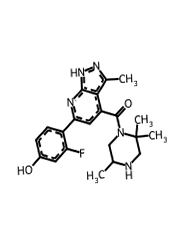 Cc1n[nH]c2nc(-c3ccc(O)cc3F)cc(C(=O)N3CC(C)NCC3(C)C)c12